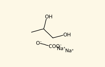 CC(O)CO.O=C([O-])[O-].[Na+].[Na+]